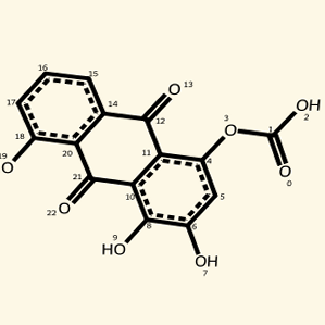 O=C(O)Oc1cc(O)c(O)c2c1C(=O)c1cccc(O)c1C2=O